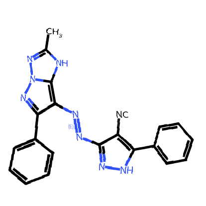 [C-]#[N+]c1c(/N=N/c2c(-c3ccccc3)nn3nc(C)[nH]c23)n[nH]c1-c1ccccc1